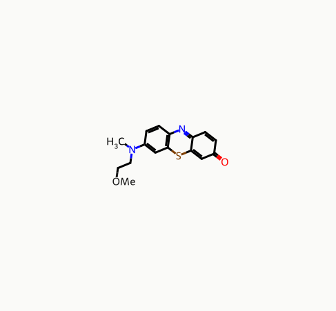 COCCN(C)c1ccc2nc3ccc(=O)cc-3sc2c1